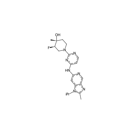 Cc1nc2cnc(Nc3ccnc(N4CC[C@@](C)(O)[C@H](F)C4)n3)cc2n1C(C)C